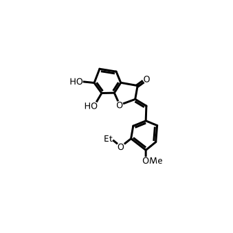 CCOc1cc(C=C2Oc3c(ccc(O)c3O)C2=O)ccc1OC